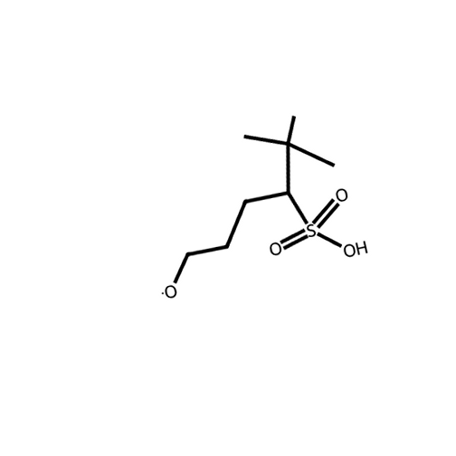 CC(C)(C)C(CCC[O])S(=O)(=O)O